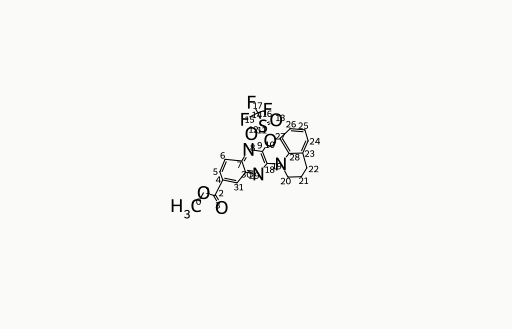 COC(=O)c1ccc2nc(OS(=O)(=O)C(F)(F)F)c(N3CCCc4ccccc43)nc2c1